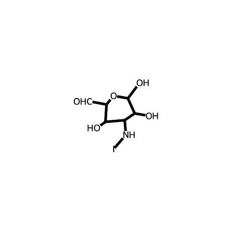 O=CC1OC(O)C(O)C(NI)C1O